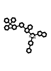 c1ccc(-c2ccc(-c3nc(-c4ccc5ccccc5c4)cc(-c4ccc(-c5cccc(-c6ccc7c(c6)C(c6ccccc6)(c6ccccc6)c6ccccc6-7)c5)c5ccccc45)n3)cc2)cc1